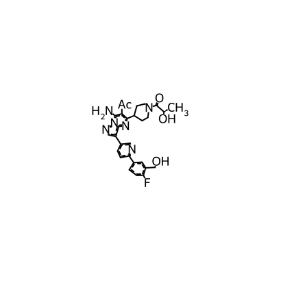 CC(=O)c1c(C2CCN(C(=O)[C@@H](C)O)CC2)nc2c(-c3ccc(-c4ccc(F)c(CO)c4)nc3)cnn2c1N